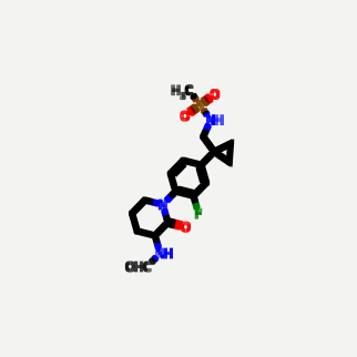 CS(=O)(=O)NCC1(c2ccc(N3CCCC(NC=O)C3=O)c(F)c2)CC1